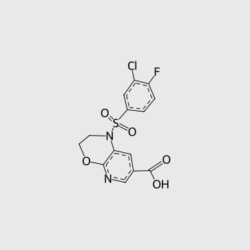 O=C(O)c1cnc2c(c1)N(S(=O)(=O)c1ccc(F)c(Cl)c1)CCO2